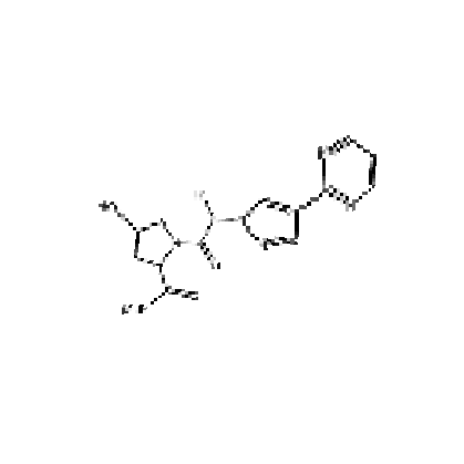 CNC(=O)C1CC(O)CN1C(=O)C(C(C)C)n1cc(-c2ncccn2)nn1